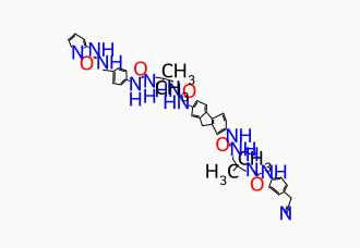 CC(C)(CNC(=O)Nc1ccc(CC#N)cc1)CNC(=O)Nc1ccc2c(c1)Cc1cc(NC(=O)NCC(C)(C)CNC(=O)Nc3ccc(CNC(=O)Nc4ccccn4)cc3)ccc1-2